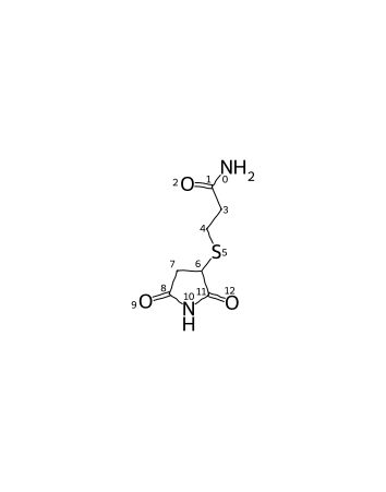 NC(=O)CCSC1CC(=O)NC1=O